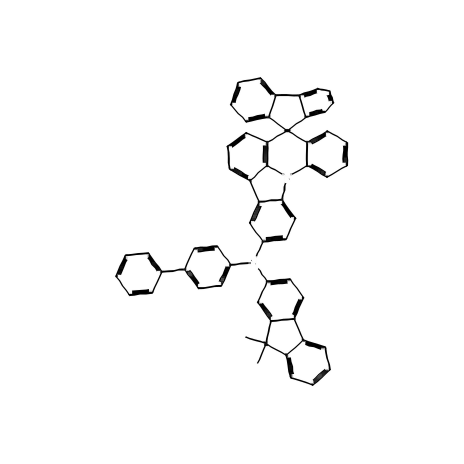 CC1(C)c2ccccc2-c2ccc(N(c3ccc(-c4ccccc4)cc3)c3ccc4c(c3)c3cccc5c3n4-c3ccccc3C53c4ccccc4-c4ccccc43)cc21